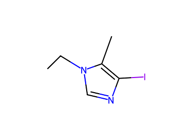 CCn1cnc(I)c1C